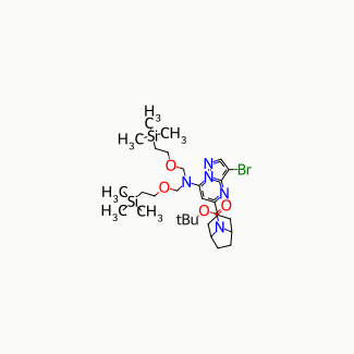 CC(C)(C)OC(=O)N1C2CCC1CC(c1cc(N(COCC[Si](C)(C)C)COCC[Si](C)(C)C)n3ncc(Br)c3n1)C2